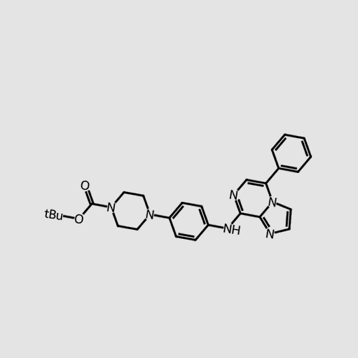 CC(C)(C)OC(=O)N1CCN(c2ccc(Nc3ncc(-c4ccccc4)n4ccnc34)cc2)CC1